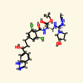 [C-]#[N+]/N=C(\NC[C@H](NC(=O)c1c(Cl)cc(CCC(O)c2ccc3cn[nH]c3c2)cc1Cl)C(=O)OC)N1CC[C@H](O)C1